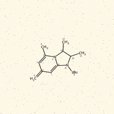 C=C1C=C(C)N2C(=C1)N(C(C)(C)C)C(C)C2C